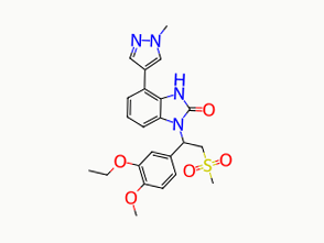 CCOc1cc(C(CS(C)(=O)=O)n2c(=O)[nH]c3c(-c4cnn(C)c4)cccc32)ccc1OC